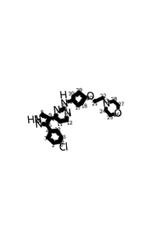 Clc1ccc(-c2n[nH]cc2-c2ccnc(Nc3ccc(OCCN4CCOCC4)cc3)n2)cc1